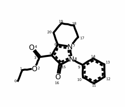 CCOC(=O)c1c2n(n(-c3ccccc3)c1=O)CCCC2